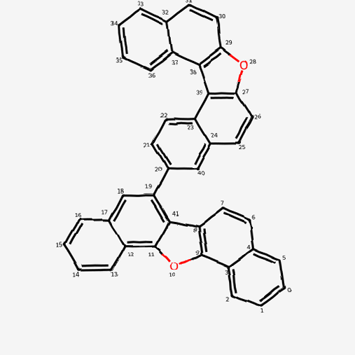 c1ccc2c(c1)ccc1c2oc2c3ccccc3cc(-c3ccc4c(ccc5oc6ccc7ccccc7c6c54)c3)c12